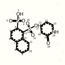 O=S(=O)(O)c1ccc2ccccc2c1S(=O)(=O)O.O=c1cccc[nH]1